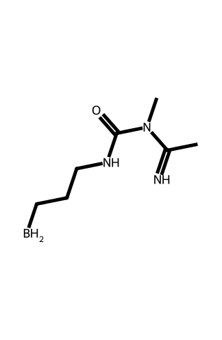 BCCCNC(=O)N(C)C(C)=N